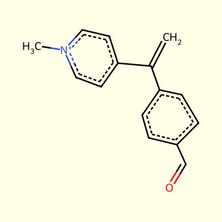 C=C(c1ccc(C=O)cc1)c1cc[n+](C)cc1